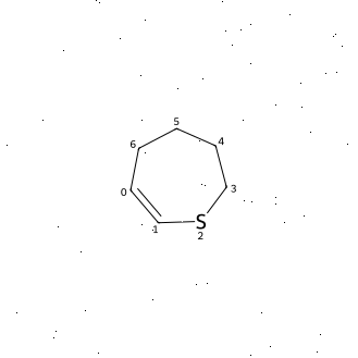 C1=CSCCCC1